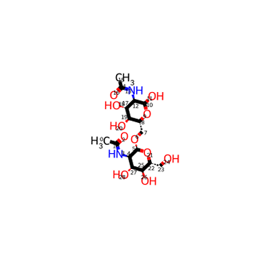 CC(=O)N[C@H]1[C@H](OC[C@H]2OC(O)[C@H](NC(C)=O)[C@@H](O)[C@@H]2O)O[C@H](CO)[C@@H](O)[C@@H]1O